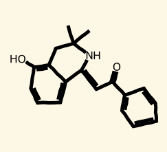 CC1(C)Cc2c(O)cccc2C(=CC(=O)c2ccccc2)N1